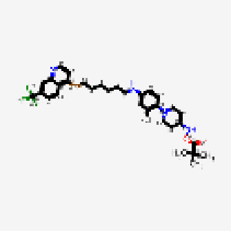 Cc1cc(NCCCCCCSc2ccnc3cc(C(F)(F)F)ccc23)ccc1N1CCC(NOC(=O)C(C)(C)C)CC1